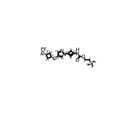 C[Si](C)(C)CCOC(=O)NC12CC(n3cc(O[C@H]4C[C@@H](OC(F)(F)F)C4)cn3)(C1)C2